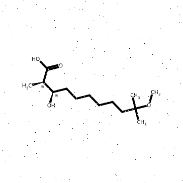 COC(C)(C)CCCCCC[C@@H](O)[C@@H](C)C(=O)O